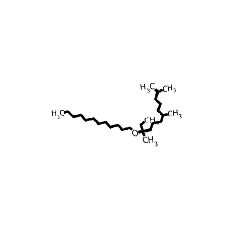 CCCCCCCCCCCCOC(C)(CC)CCCC(C)CCCC(C)C